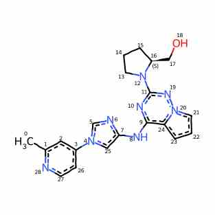 Cc1cc(-n2cnc(Nc3nc(N4CCC[C@H]4CO)nn4cccc34)c2)ccn1